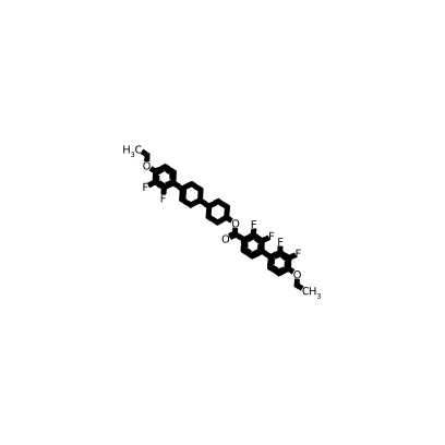 CCOc1ccc(C2=CCC(C3CCC(OC(=O)c4ccc(-c5ccc(OCC)c(F)c5F)c(F)c4F)CC3)CC2)c(F)c1F